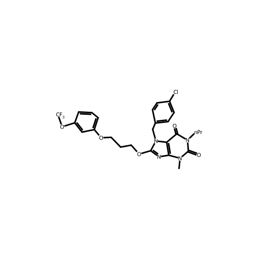 CCCn1c(=O)c2c(nc(OCCCOc3cccc(OC(F)(F)F)c3)n2Cc2ccc(Cl)cc2)n(C)c1=O